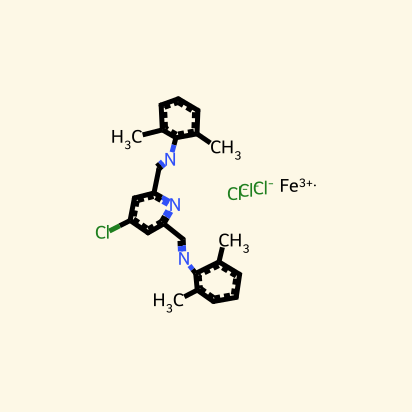 Cc1cccc(C)c1N=Cc1cc(Cl)cc(C=Nc2c(C)cccc2C)n1.[Cl-].[Cl-].[Cl-].[Fe+3]